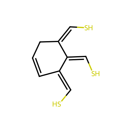 SC=C1C=CCC(=CS)C1=CS